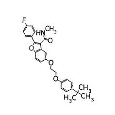 CNC(=O)c1c(-c2ccc(F)cc2)oc2ccc(OCCOc3ccc(C(C)(C)C)cc3)cc12